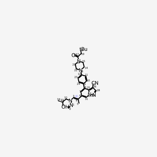 C=NN(/C=C(\C)c1cc(-c2ccc(N3CCN(C(=O)CC(C)(C)C)CC3)cc2)c2c(C#N)cnn2c1)C[C@H](C)O